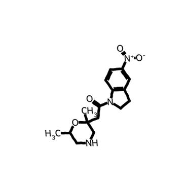 CC1CNCC(C)(CC(=O)N2CCc3cc([N+](=O)[O-])ccc32)O1